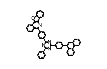 c1ccc(-c2nc(-c3ccc(-c4cc5ccccc5c5ccccc45)cc3)nc(-c3ccc(-c4nc5c6ccccc6oc5c5ccccc45)cc3)n2)cc1